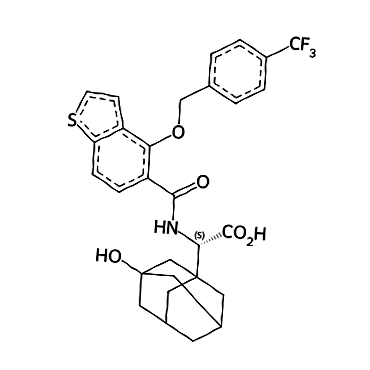 O=C(N[C@H](C(=O)O)C12CC3CC(CC(O)(C3)C1)C2)c1ccc2sccc2c1OCc1ccc(C(F)(F)F)cc1